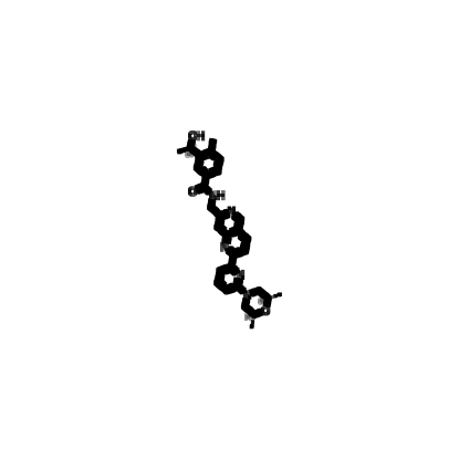 Cc1ccc(C(=O)NCc2cc3nc(-c4cccc(N5C[C@@H](C)O[C@@H](C)C5)n4)ccc3cn2)cc1[C@@H](C)O